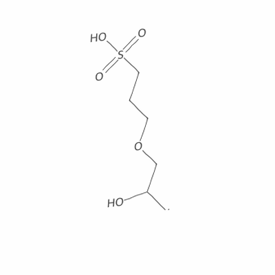 [CH2]C(O)COCCCS(=O)(=O)O